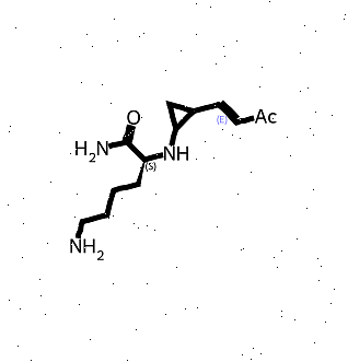 CC(=O)/C=C/C1CC1N[C@@H](CCCCN)C(N)=O